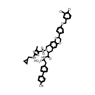 Cc1nc(NCC2CC2)sc1S(=O)(=O)N1Cc2cc3c(cc2CC1C(=O)NC(Cc1ccc(-c2ccc(C#N)cc2)cc1)C(=O)O)OCC(c1ccc(OCc2ccc(Cl)c(Cl)c2)cc1)O3